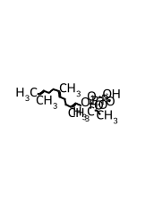 CC(C)=CCCC(C)=CCCC(C)=CCOCP(=O)(CP(=O)(O)O)OC(C)C